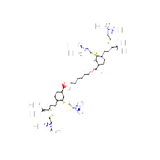 CC(C)C(CCC1CCC(C(=O)OCCCCCCOC(=O)C2CCC(CCC(SCCN(C)C)C(C)C)C(SCCN(C)C)C2)CC1SCCN(C)C)SCCN(C)C